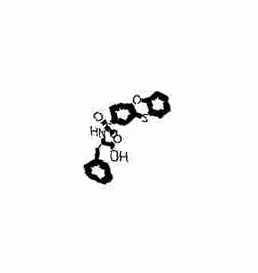 O=C(O)[C@H](Cc1ccccc1)NS(=O)(=O)c1ccc2c(c1)Sc1ccccc1O2